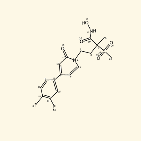 CC(CCn1ccc(-c2ccc(F)c(F)c2)cc1=O)(C(=O)NO)S(C)(=O)=O